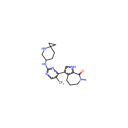 CN1CCCc2c(-c3nc(NC4CCC5(CC5)NC4)ncc3C(F)(F)F)c[nH]c2C1=O